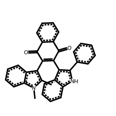 Cc1c(C2=C(c3c(-c4ccccc4)[nH]c4ccccc34)C(=O)c3ccccc3C2=O)c2ccccc2n1C